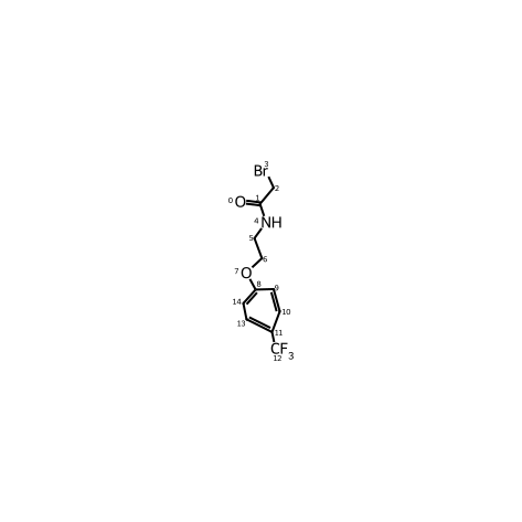 O=C(CBr)NCCOc1ccc(C(F)(F)F)cc1